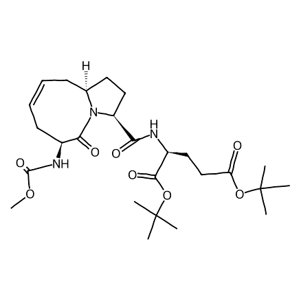 COC(=O)N[C@H]1C/C=C\C[C@H]2CC[C@@H](C(=O)N[C@@H](CCC(=O)OC(C)(C)C)C(=O)OC(C)(C)C)N2C1=O